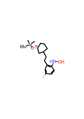 CC(C)(C)[Si](C)(C)O[C@@H]1CCCC(CCc2cc(F)ccc2NO)C1